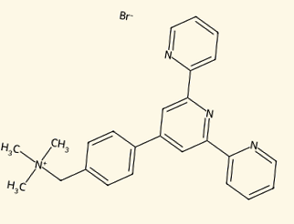 C[N+](C)(C)Cc1ccc(-c2cc(-c3ccccn3)nc(-c3ccccn3)c2)cc1.[Br-]